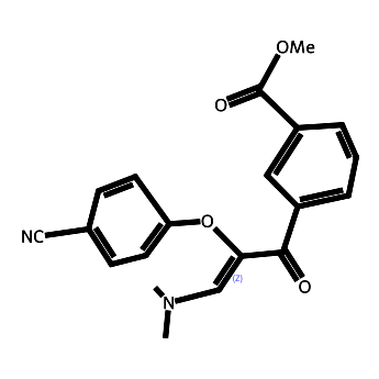 COC(=O)c1cccc(C(=O)/C(=C/N(C)C)Oc2ccc(C#N)cc2)c1